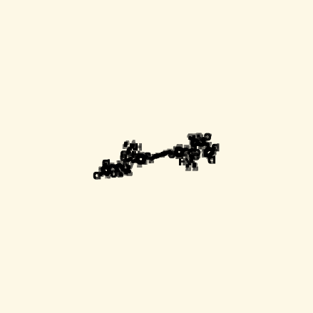 CC[C@H](NC)C(=O)N[C@@H](Cc1ccc(OCC#CC#CCOc2ccc(C[C@H](NC(=O)[C@H](CC)NC)C(=O)N3CC(C)(C)c4c3cc(Cc3ccc(Cl)cc3Cl)c(=O)n4C)cc2)cc1)C(=O)N1CC(C)(C)c2c1cc(Cc1ccc(Cl)cc1Cl)c(=O)n2C